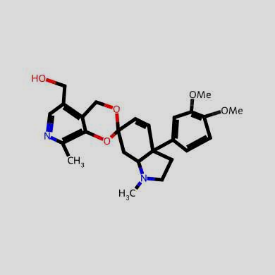 COc1ccc(C23C=CC4(CC2N(C)CC3)OCc2c(CO)cnc(C)c2O4)cc1OC